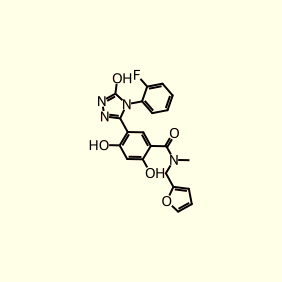 CN(Cc1ccco1)C(=O)c1cc(-c2nnc(O)n2-c2ccccc2F)c(O)cc1O